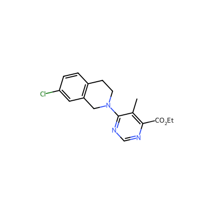 CCOC(=O)c1ncnc(N2CCc3ccc(Cl)cc3C2)c1C